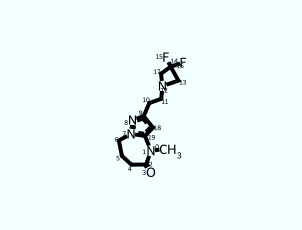 CN1C(=O)CCCn2nc(CCN3CC(F)(F)C3)cc21